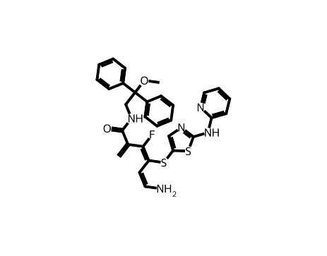 C=C(C(=O)NCC(OC)(c1ccccc1)c1ccccc1)/C(F)=C(\C=C/N)Sc1cnc(Nc2ccccn2)s1